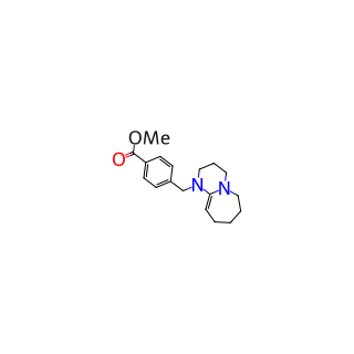 COC(=O)c1ccc(CN2CCCN3CCCCC=C32)cc1